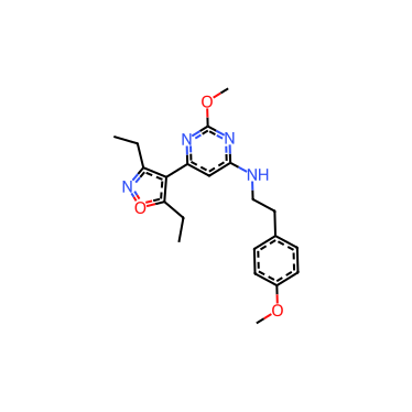 CCc1noc(CC)c1-c1cc(NCCc2ccc(OC)cc2)nc(OC)n1